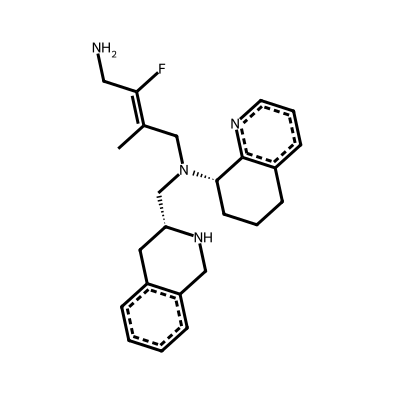 C/C(CN(C[C@H]1Cc2ccccc2CN1)[C@H]1CCCc2cccnc21)=C(/F)CN